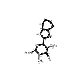 CNc1nc(-c2nc3ccccc3o2)c(OC)c(=O)n1C